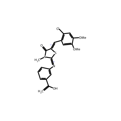 C=C(O)c1cccc(/N=C2/S/C(=C\c3cc(OC)c(OC)cc3Cl)C(=O)N2C)c1